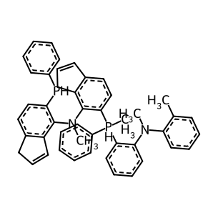 Cc1ccccc1N(C)c1ccccc1[PH](C)(c1ccccc1)c1ccc2c(c1N(C)c1c(Pc3ccccc3)ccc3c1C=CC3)CC=C2